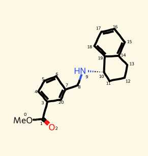 COC(=O)c1cccc(CN[C@H]2CCCc3ccccc32)c1